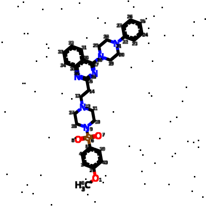 COc1ccc(S(=O)(=O)N2CCN(CCc3nc(N4CCN(c5ccccc5)CC4)c4ccccc4n3)CC2)cc1